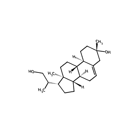 CC(CO)[C@H]1CC[C@H]2[C@@H]3CC=C4C[C@@](C)(O)CC[C@@H]4[C@H]3CC[C@]12C